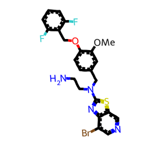 COc1cc(CN(CCN)c2nc3c(Br)cncc3s2)ccc1OCc1c(F)cccc1F